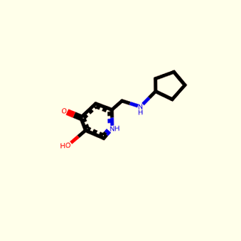 O=c1cc(CNC2CCCC2)[nH]cc1O